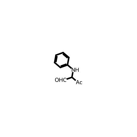 CC(=O)C(C=O)Nc1ccccc1